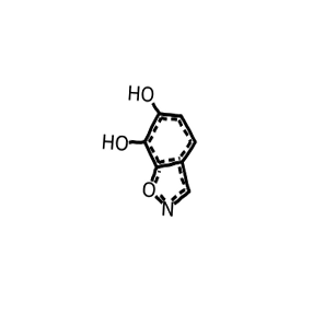 Oc1ccc2cnoc2c1O